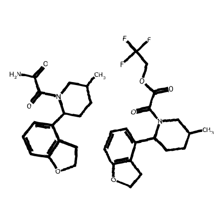 CC1CCC(c2cccc3c2CCO3)N(C(=O)C(=O)OCC(F)(F)F)C1.CC1CCC(c2cccc3c2CCO3)N(C(=O)C(N)=O)C1